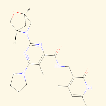 Cc1cc(C)c(CNC(=O)c2nc(N3C[C@@H]4C[C@H]3CO4)nc(N3CCC[C@@H]3C)c2C)c(=O)[nH]1